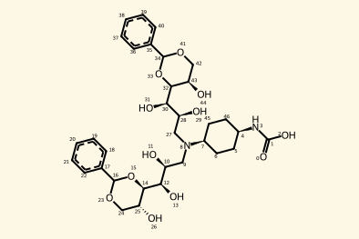 O=C(O)N[C@H]1CC[C@@H](N(C[C@H](O)[C@@H](O)[C@@H]2OC(c3ccccc3)OC[C@H]2O)C[C@H](O)[C@@H](O)C2OC(c3ccccc3)OC[C@H]2O)CC1